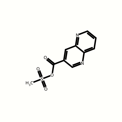 CS(=O)(=O)OC(=O)c1cnc2cccnc2c1